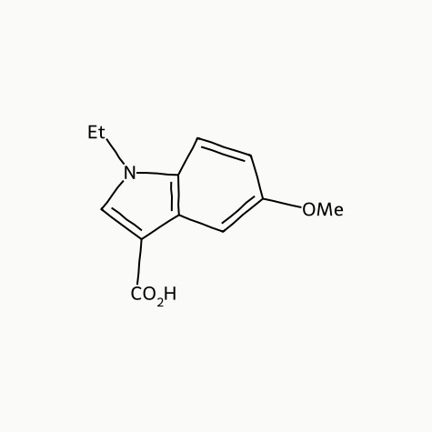 CCn1cc(C(=O)O)c2cc(OC)ccc21